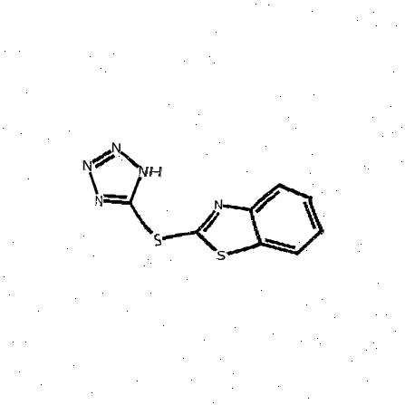 c1ccc2sc(Sc3nnn[nH]3)nc2c1